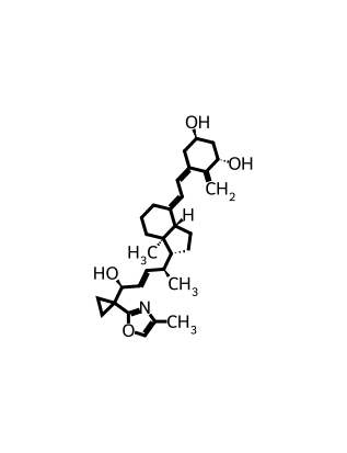 C=C1/C(=C\C=C2/CCC[C@]3(C)[C@@H]([C@@H](C)/C=C/[C@H](O)C4(c5nc(C)co5)CC4)CC[C@@H]23)C[C@@H](O)C[C@@H]1O